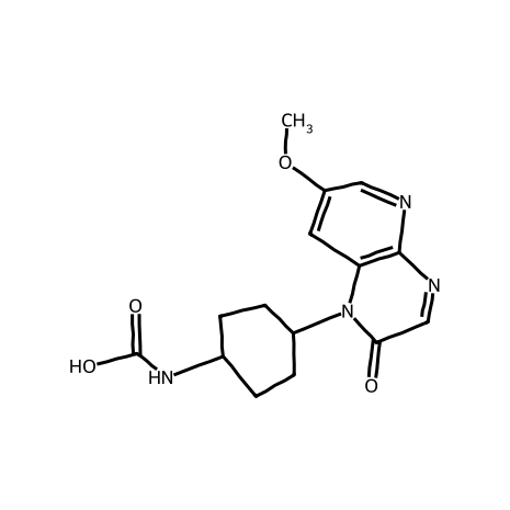 COc1cnc2ncc(=O)n(C3CCC(NC(=O)O)CC3)c2c1